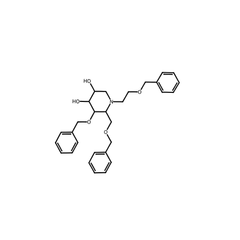 OC1CN(CCOCc2ccccc2)C(COCc2ccccc2)C(OCc2ccccc2)C1O